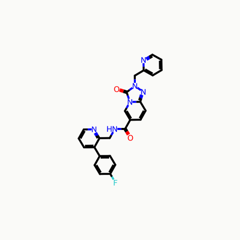 O=C(NCc1ncccc1-c1ccc(F)cc1)c1ccc2nn(Cc3ccccn3)c(=O)n2c1